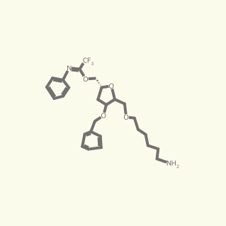 NCCCCCCOCC1O[C@@H](COC(=Nc2ccccc2)C(F)(F)F)CC1OCc1ccccc1